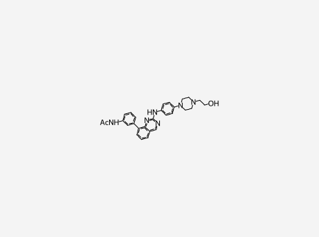 CC(=O)Nc1cccc(-c2cccc3cnc(Nc4ccc(N5CCN(CCO)CC5)cc4)nc23)c1